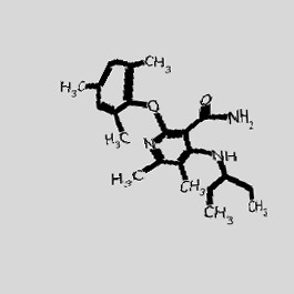 CCC(CC)Nc1c(C)c(C)nc(Oc2c(C)cc(C)cc2C)c1C(N)=O